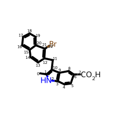 Cc1[nH]c2ccc(C(=O)O)cc2c1Cc1ccc2ccccc2c1Br